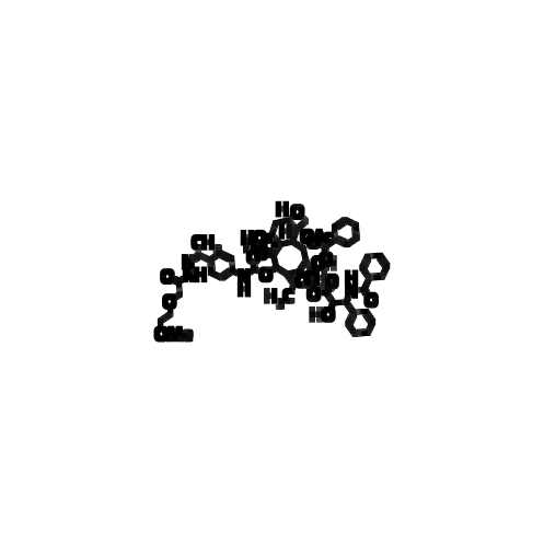 COCCOCC(=O)N/N=C(/C)c1ccc(NC(=O)O[C@H]2C(=O)[C@@]3(C)[C@H]([C@H](OC(=O)c4ccccc4)[C@@]4(O)C[C@H](OC(=O)[C@H](O)[C@@H](NC(=O)c5ccccc5)c5ccccc5)C(C)=C2C4(C)C)[C@]2(OC(C)=O)CO[C@@H]2C[C@@H]3O)cc1